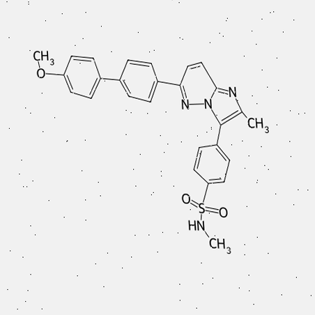 CNS(=O)(=O)c1ccc(-c2c(C)nc3ccc(-c4ccc(-c5ccc(OC)cc5)cc4)nn23)cc1